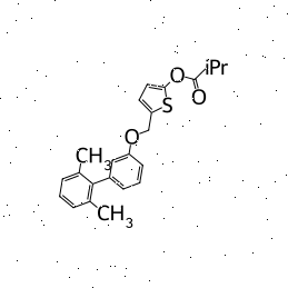 Cc1cccc(C)c1-c1cccc(OCc2ccc(OC(=O)C(C)C)s2)c1